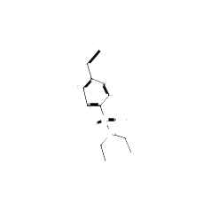 C=Cc1ccc(S(=O)(=O)N(CC)CC)cc1